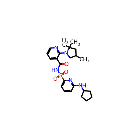 CC1CN(c2ncccc2C(=O)NS(=O)(=O)c2cccc(NC3CCCC3)n2)C(C)(C)C1